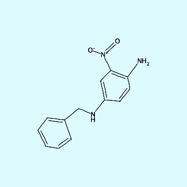 Nc1ccc(NCc2ccccc2)cc1[N+](=O)[O-]